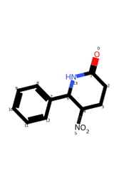 O=C1CCC([N+](=O)[O-])C(c2ccccc2)N1